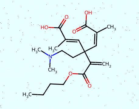 C=C(C(=O)OCCCC)C(C=C(C)C(=O)O)(C=C(C)C(=O)O)CCN(C)C